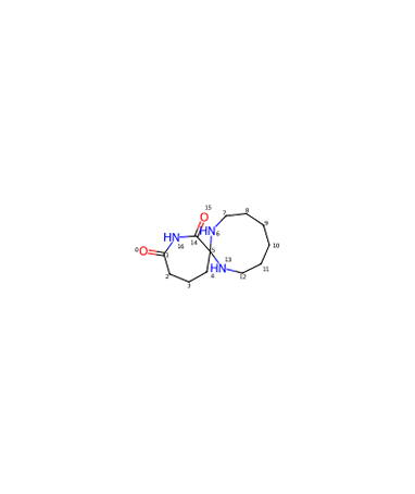 O=C1CCCC2(NCCCCCCN2)C(=O)N1